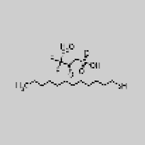 CCCCCCCCCCCCS.O.O=C(CS(=O)(=O)O)C(F)(F)F